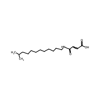 CC(C)CCCCCCCCCCNC(=O)C=CC(=O)O